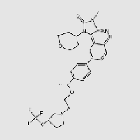 C[C@@H](OCCN1CCC(OC(F)(F)F)C1)c1ccc(-c2ccc3nnc4c(c3c2)n(C2CCOCC2)c(=O)n4C)cn1